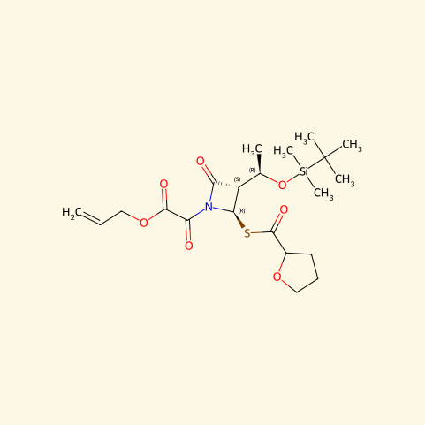 C=CCOC(=O)C(=O)N1C(=O)[C@H]([C@@H](C)O[Si](C)(C)C(C)(C)C)[C@H]1SC(=O)C1CCCO1